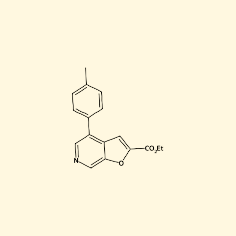 CCOC(=O)c1cc2c(-c3ccc(C)cc3)cncc2o1